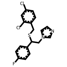 Fc1ccc(C(Cn2ccnc2)SCc2ccc(Cl)cc2Cl)cc1